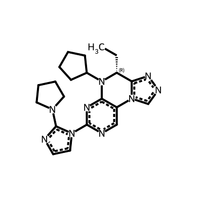 CC[C@@H]1c2nncn2-c2cnc(-n3ccnc3N3CCCC3)nc2N1C1CCCC1